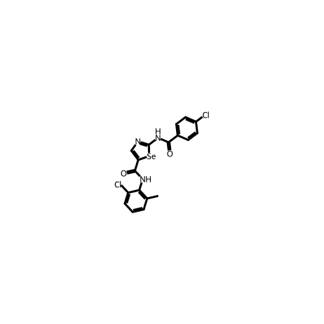 Cc1cccc(Cl)c1NC(=O)c1cnc(NC(=O)c2ccc(Cl)cc2)[se]1